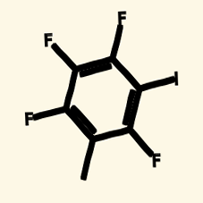 Cc1c(F)c(F)c(F)c(I)c1F